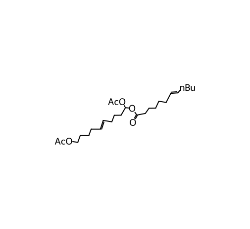 CCCCC=CCCCCCC(=O)OC(CCCC=CCCCCOC(C)=O)OC(C)=O